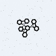 c1ccc([Si]2(c3cc(-n4c5ccccc5c5ccccc54)cc4c3oc3ccccc34)c3ccccc3-c3ccccc32)cc1